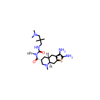 CCCN(C(=O)NCC(C)(C)CN(C)C)C(=O)[C@@H]1C[C@@H]2Cc3c(sc(N)c3N)C[C@H]2N(C)C1